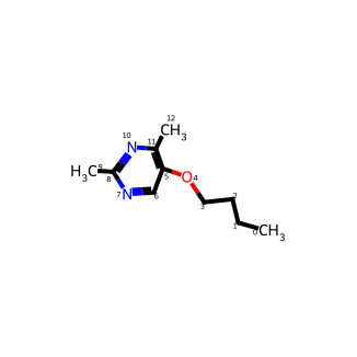 CCCCOc1cnc(C)nc1C